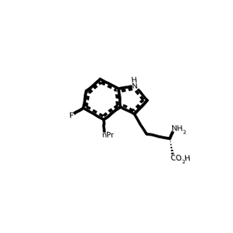 CCCc1c(F)ccc2[nH]cc(C[C@H](N)C(=O)O)c12